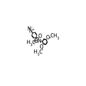 CCOc1ccc(OCC)c(NC(=O)C2(OC)C=CC(=[N+]=[N-])C=C2)c1